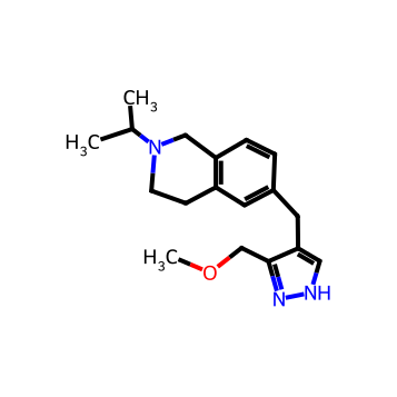 COCc1n[nH]cc1Cc1ccc2c(c1)CCN(C(C)C)C2